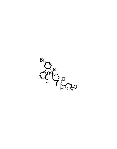 C[C@H](/C=C\S(C)(=O)=O)NC(=O)C1(F)CCN(S(=O)(=O)c2ccc(Br)cc2-c2cccc(Cl)c2)CC1